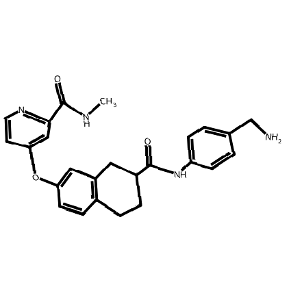 CNC(=O)c1cc(Oc2ccc3c(c2)CC(C(=O)Nc2ccc(CN)cc2)CC3)ccn1